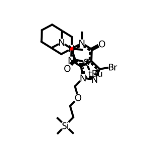 Cn1c(N2C3CCCC2C[N+](C)(C(=O)OC(C)(C)C)C3)nc2c(c(Br)nn2COCC[Si](C)(C)C)c1=O